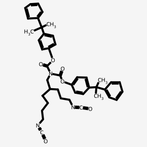 CC(C)(c1ccccc1)c1ccc(OC(=O)N(CC(CCCCN=C=O)CCCN=C=O)C(=O)Oc2ccc(C(C)(C)c3ccccc3)cc2)cc1